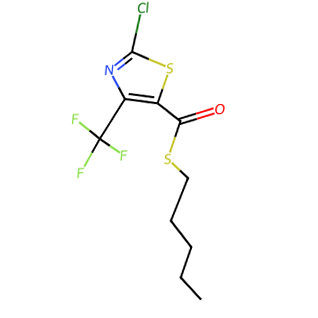 CCCCCSC(=O)c1sc(Cl)nc1C(F)(F)F